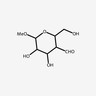 COC1OC(CO)C(C=O)C(O)C1O